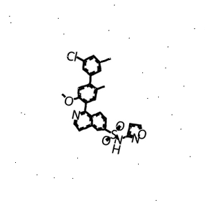 COc1cc(-c2cc(C)cc(Cl)c2)c(C)cc1-c1nccc2cc(S(=O)(=O)Nc3ccon3)ccc12